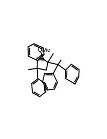 COC(=O)C(C)(CC(C)(c1ccccc1)c1ccccc1)C(C)(c1ccccc1)c1ccccc1